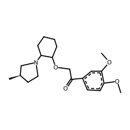 COc1ccc(C(=O)COC2CCCCC2N2CC[C@@H](C)C2)cc1OC